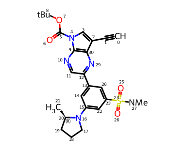 C#Cc1cn(C(=O)OC(C)(C)C)c2ncc(-c3cc(N4CCC[C@H]4C)cc(S(=O)(=O)NC)c3)nc12